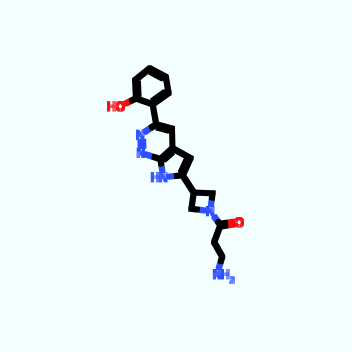 NCCC(=O)N1CC(c2cc3cc(-c4ccccc4O)nnc3[nH]2)C1